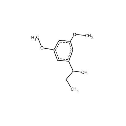 CCC(O)c1cc(OC)cc(OC)c1